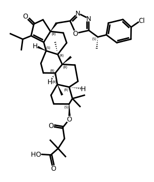 CC(C)C1=C2[C@H]3CC[C@@H]4[C@@]5(C)CC[C@H](OC(=O)CC(C)(C)C(=O)O)C(C)(C)[C@@H]5CC[C@@]4(C)[C@]3(C)CC[C@@]2(Cc2nnc([C@@H](C)c3ccc(Cl)cc3)o2)CC1=O